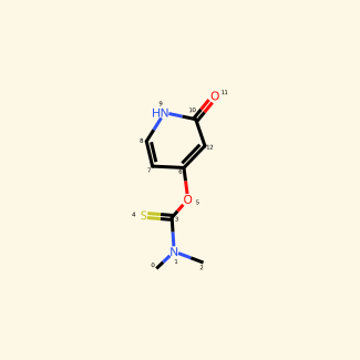 CN(C)C(=S)Oc1cc[nH]c(=O)c1